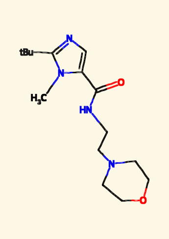 Cn1c(C(=O)NCCN2CCOCC2)cnc1C(C)(C)C